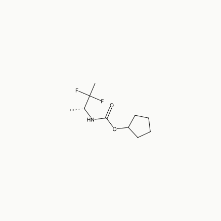 C[C@@H](NC(=O)OC1CCCC1)C(C)(F)F